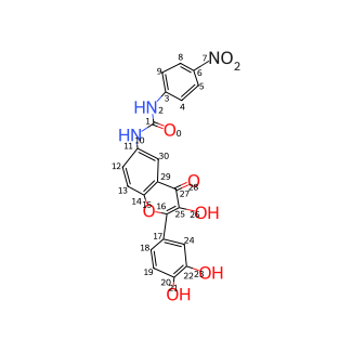 O=C(Nc1ccc([N+](=O)[O-])cc1)Nc1ccc2oc(-c3ccc(O)c(O)c3)c(O)c(=O)c2c1